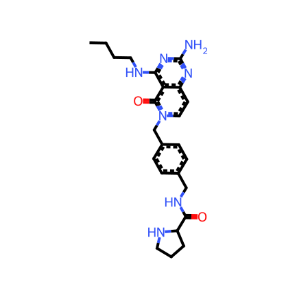 CCCCNc1nc(N)nc2ccn(Cc3ccc(CNC(=O)C4CCCN4)cc3)c(=O)c12